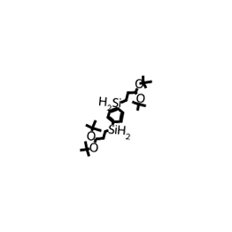 CC(C)(C)OC(CC[SiH2]c1ccc([SiH2]CCC(OC(C)(C)C)OC(C)(C)C)cc1)OC(C)(C)C